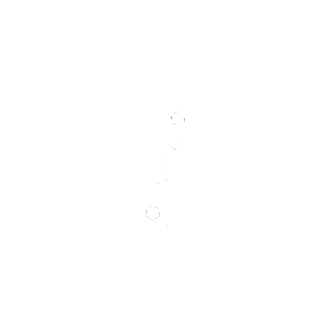 O=C(COc1ccnc(C(F)F)c1)NC12CC(NC(=O)COc3ccc(Cl)c(F)c3)(C1)C2